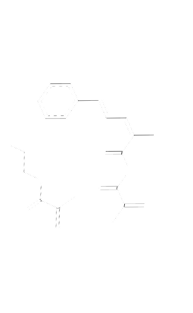 C=C(C)C(=O)OC(=O)C(C)=CC=Cc1ccccc1.C=C(C)C(=O)OCCO